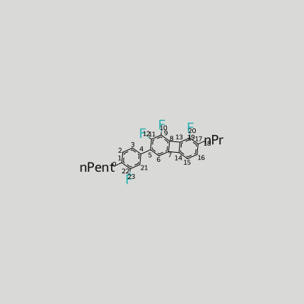 CCCCCc1ccc(-c2cc3c(c(F)c2F)-c2c-3ccc(CCC)c2F)cc1F